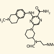 CNCCN(C=O)C1CCCN(c2cnc(C(N)=O)c(Nc3ccc4c(c3)CCN(C)C4)n2)C1